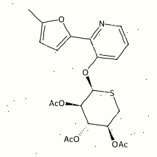 CC(=O)O[C@@H]1[C@@H](OC(C)=O)[C@@H](Oc2cccnc2-c2ccc(C)o2)SC[C@H]1OC(C)=O